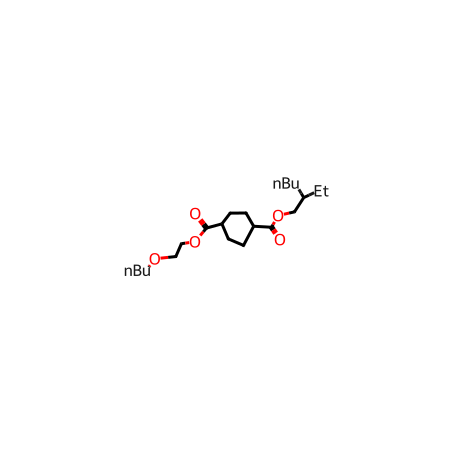 CCCCOCCOC(=O)C1CCC(C(=O)OCC(CC)CCCC)CC1